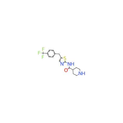 O=C(Nc1ncc(Cc2ccc(C(F)(F)F)cc2)s1)C1CCNCC1